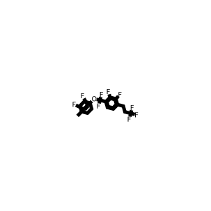 CC12CCC(OC(F)(F)c3ccc(CCC(F)(F)F)c(F)c3F)(CC1)C(F)=C2F